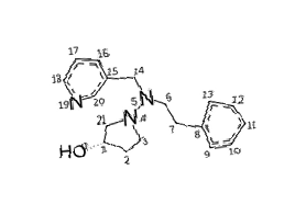 O[C@H]1CCN(N(CCc2ccccc2)Cc2cccnc2)C1